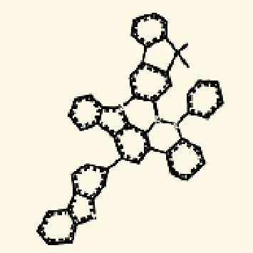 CC1(C)c2ccccc2-c2cc3c(cc21)B1c2c(cc(-c4ccc5c(c4)sc4ccccc45)c4c5ccccc5n-3c24)-c2ccccc2N1c1ccccc1